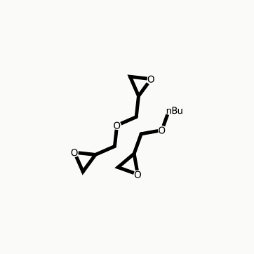 C(OCC1CO1)C1CO1.CCCCOCC1CO1